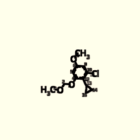 COCOc1cc(OC)cc(Cl)c1C1CC1